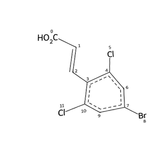 O=C(O)/C=C/c1c(Cl)cc(Br)cc1Cl